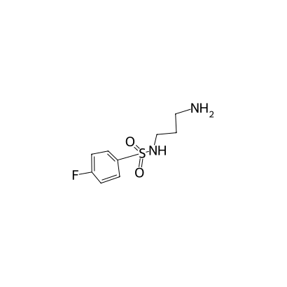 NCCCNS(=O)(=O)c1ccc(F)cc1